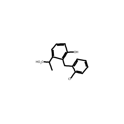 CC(C(=O)O)c1cccc(O)c1Cc1ccccc1Cl